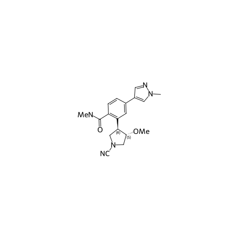 CNC(=O)c1ccc(-c2cnn(C)c2)cc1[C@@H]1CN(C#N)C[C@H]1OC